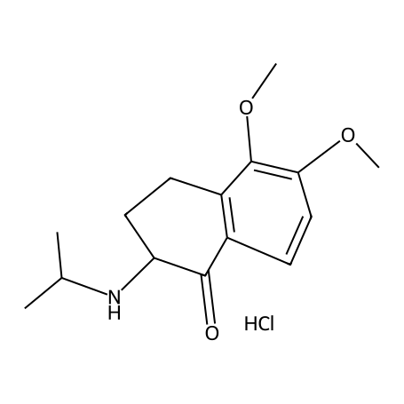 COc1ccc2c(c1OC)CCC(NC(C)C)C2=O.Cl